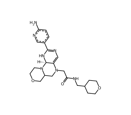 Nc1ccc(C2=NC=C3[C@H](N2)N2CCOCC2CN3CC(=O)NCC2CCOCC2)cn1